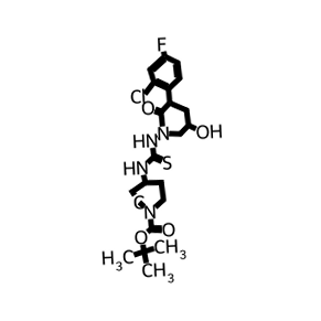 CC(C)(C)OC(=O)N1CCC(NC(=S)NN2CC(O)CC(c3ccc(F)cc3Cl)C2=O)CC1